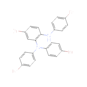 Brc1ccc(Nc2ccc(Br)cc2N(c2ccc(Br)cc2)c2ccc(Br)cc2)cc1